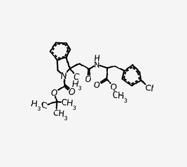 COC(=O)C(Cc1ccc(Cl)cc1)NC(=O)CC1(C)c2ccccc2CN1C(=O)OC(C)(C)C